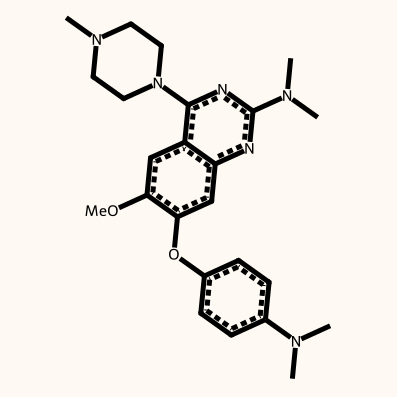 COc1cc2c(N3CCN(C)CC3)nc(N(C)C)nc2cc1Oc1ccc(N(C)C)cc1